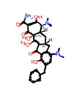 CN(C)c1cc(Cc2ccccc2)c(O)c2c1C[C@H]1C[C@H]3[C@H](N(C)C)C(O)=C(C(N)=O)C(=O)[C@@]3(O)C(O)=C1C2=O